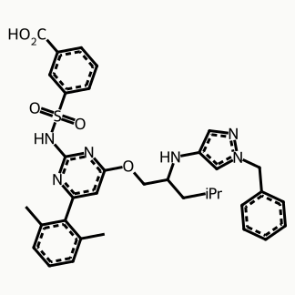 Cc1cccc(C)c1-c1cc(OCC(CC(C)C)Nc2cnn(Cc3ccccc3)c2)nc(NS(=O)(=O)c2cccc(C(=O)O)c2)n1